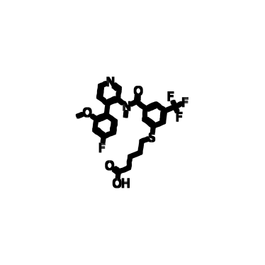 COc1cc(F)ccc1-c1ccncc1N(C)C(=O)c1cc(SCCCCC(=O)O)cc(C(F)(F)F)c1